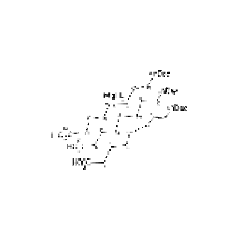 CCCCCCCCCCCCCCCCCC(=O)O.CCCCCCCCCCCCCCCCCC(=O)O.CCCCCCCCCCCCCCCCCC(=O)O.[MgH2]